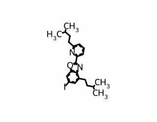 CC(C)CCc1cccc(-c2nc3c(CCC(C)C)cc(I)cc3o2)n1